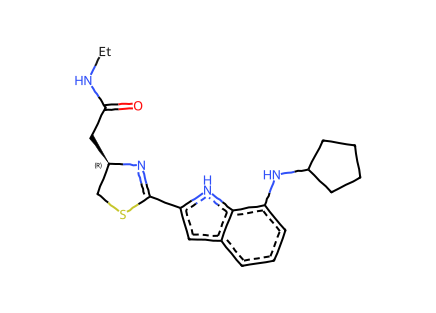 CCNC(=O)C[C@@H]1CSC(c2cc3cccc(NC4CCCC4)c3[nH]2)=N1